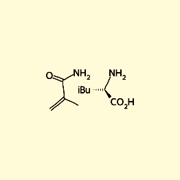 C=C(C)C(N)=O.CC[C@@H](C)[C@@H](N)C(=O)O